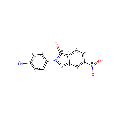 Nc1ccc(-n2[se]c3cc([N+](=O)[O-])ccc3c2=O)cc1